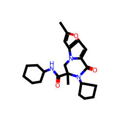 Cc1cc2c(cc3n2CC(C)(C(=O)NC2CCCCC2)N(C2CCCC2)C3=O)o1